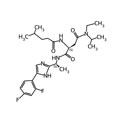 CCN(C(=O)C[C@H](NC(=O)CCC(C)C)C(=O)N[C@@H](C)c1ncc(-c2ccc(F)cc2F)[nH]1)C(C)C